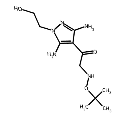 CC(C)(C)ONCC(=O)c1c(N)nn(CCO)c1N